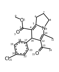 COC(=O)C1=C2CCCN2C(C)=C(C(C)=O)C1c1ccc(Cl)cc1